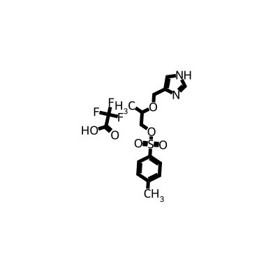 Cc1ccc(S(=O)(=O)OCC(C)OCc2c[nH]cn2)cc1.O=C(O)C(F)(F)F